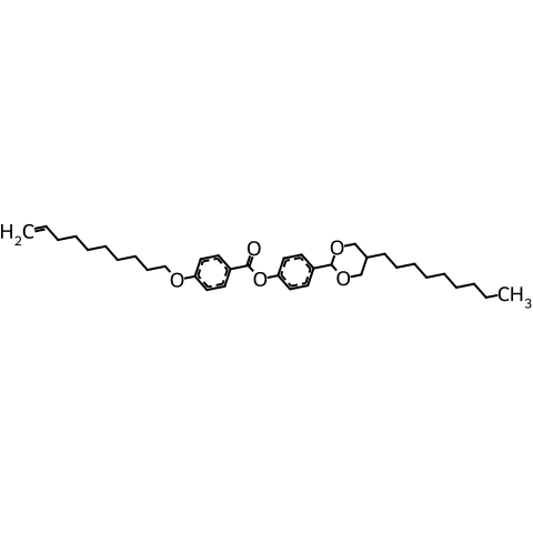 C=CCCCCCCCCOc1ccc(C(=O)Oc2ccc(C3OCC(CCCCCCCCC)CO3)cc2)cc1